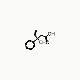 C=CC(C=O)(CC(=C)O)c1ccccc1